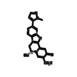 Cn1nccc1-c1ccc2c3c(oc2c1)-c1cc(=O)c(C(=O)O)cn1[C@H](C(C)(C)C)C3